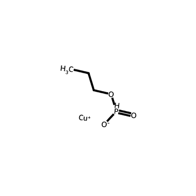 CCCO[PH](=O)[O-].[Cu+]